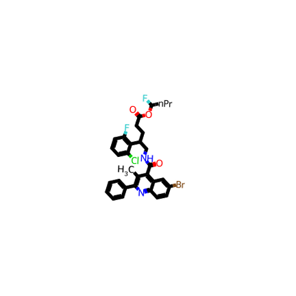 CCCC(F)OC(=O)CCC(CNC(=O)c1c(C)c(-c2ccccc2)nc2ccc(Br)cc12)c1c(F)cccc1Cl